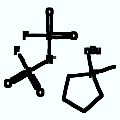 CCCC[N+]1(C)CCCC1.O=S(=O)(F)[N-]S(=O)(=O)F